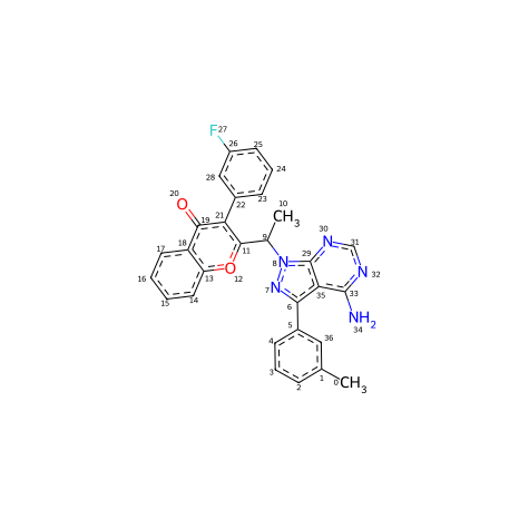 Cc1cccc(-c2nn(C(C)c3oc4ccccc4c(=O)c3-c3cccc(F)c3)c3ncnc(N)c23)c1